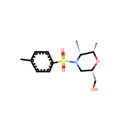 Cc1ccc(S(=O)(=O)N2C[C@@H](CO)O[C@@H](C)[C@H]2C)cc1